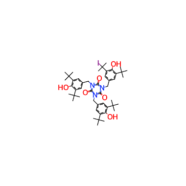 CC(C)(C)c1cc(Cn2c(=O)n(Cc3cc(C(C)(C)C)c(O)c(C(C)(C)C)c3)c(=O)n(Cc3cc(C(C)(C)C)c(O)c(C(C)(C)I)c3)c2=O)cc(C(C)(C)C)c1O